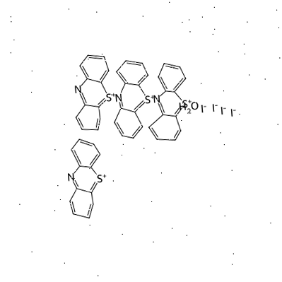 O.[I-].[I-].[I-].[I-].c1ccc2[s+]c3ccccc3nc2c1.c1ccc2[s+]c3ccccc3nc2c1.c1ccc2[s+]c3ccccc3nc2c1.c1ccc2[s+]c3ccccc3nc2c1